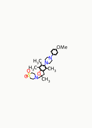 COc1ccc(N2CCN(c3c(C)c(C)c4c(c3C)CC(C)(CN3CCS(=O)(=O)CC3)O4)CC2)cc1